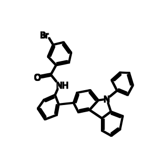 O=C(Nc1ccccc1-c1ccc2c(c1)c1ccccc1n2-c1ccccc1)c1cccc(Br)c1